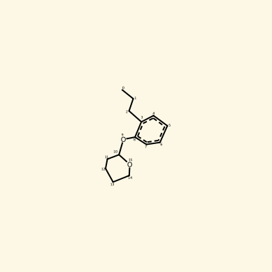 CCCc1ccccc1OC1CCCCO1